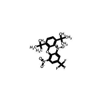 CC(C)(C)c1ccc(C(C)(C)C)c(Oc2c([N+](=O)[O-])cc(C(F)(F)F)cc2[N+](=O)[O-])c1